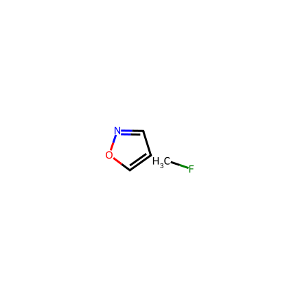 CF.c1cnoc1